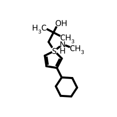 CNS1(CC(C)(C)O)C=CC(C2CCCCC2)=C1